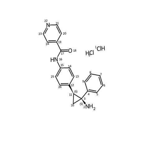 Cl.Cl.N[C@@]1(c2ccccc2)C[C@H]1c1ccc(NC(=O)c2ccncc2)cc1